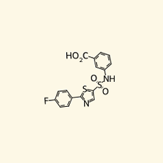 O=C(O)c1cccc(NS(=O)(=O)c2cnc(-c3ccc(F)cc3)s2)c1